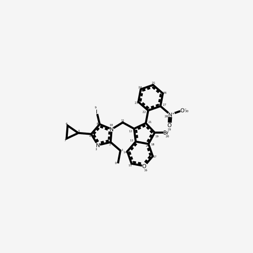 CCc1nc(C2CC2)c(I)n1Cc1c2ccocc-2c(Br)c1-c1ccccc1[N+](=O)[O-]